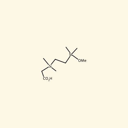 CO[Si](C)(C)CC[Si](C)(C)CC(=O)O